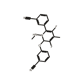 CNN1C(c2cccc(C#N)c2)=C(F)C(C)=C(F)C1Oc1cccc(C#N)c1